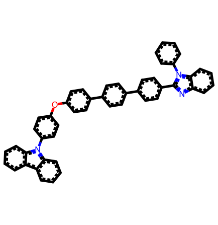 c1ccc(-n2c(-c3ccc(-c4ccc(-c5ccc(Oc6ccc(-n7c8ccccc8c8ccccc87)cc6)cc5)cc4)cc3)nc3ccccc32)cc1